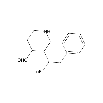 CCCC(Cc1ccccc1)C1CNCCC1C=O